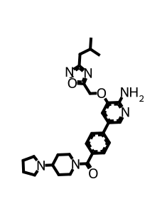 CC(C)Cc1noc(COc2cc(-c3ccc(C(=O)N4CCC(N5CCCC5)CC4)cc3)cnc2N)n1